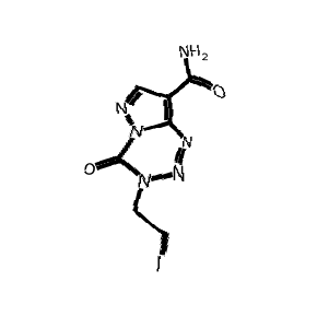 NC(=O)c1cnn2c(=O)n(CCI)nnc12